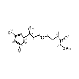 CC(C)(C)OC(=O)NCCOCCC(O)c1cc(Cl)cc(Br)c1